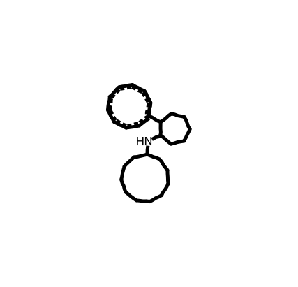 c1ccccc(C2CCCCCC2NC2CCCCCCCCCC2)cccc1